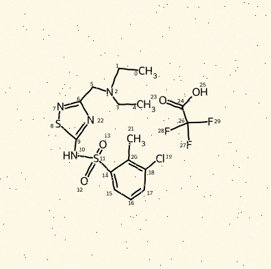 CCN(CC)Cc1nsc(NS(=O)(=O)c2cccc(Cl)c2C)n1.O=C(O)C(F)(F)F